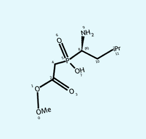 COOC(=O)CP(=O)(O)[C@@H](N)CC(C)C